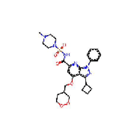 CN1CCN(S(=O)(=O)NC(=O)c2cc(OCC3CCOOC3)c3c(C4CCC4)nn(-c4ccccc4)c3n2)CC1